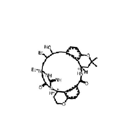 CCC1C[C@]2(CC)CC(=O)N(C(=N)N2)[C@@H]2CCOc3ccc(cc32)C(=O)N[C@H]2CC(C)(C)Oc3ccc(cc32)CC1O